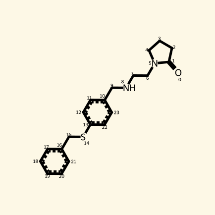 O=C1CCCN1CCNCc1ccc(SCc2ccccc2)cc1